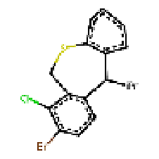 CC(C)C1c2ccccc2SCc2c1ccc(Br)c2Cl